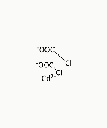 O=C([O-])Cl.O=C([O-])Cl.[Cd+2]